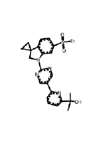 CCS(=O)(=O)c1ccc2c(c1)N(c1ncc(-c3cccc(C(C)(C)O)n3)cn1)CC21CC1